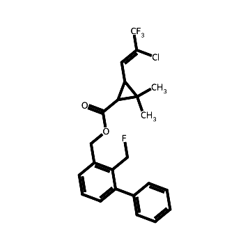 CC1(C)C(/C=C(\Cl)C(F)(F)F)C1C(=O)OCc1cccc(-c2ccccc2)c1CF